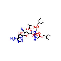 CCC(CC)COC(=O)[C@H](C)NP(=O)(N[C@@H](C)C(=O)OCC(CC)CC)OC[C@H]1O[C@@](C)(c2ccc3c(N)ncnn23)[C@@](O)(C#N)[C@@H]1OC(=O)C(C)C